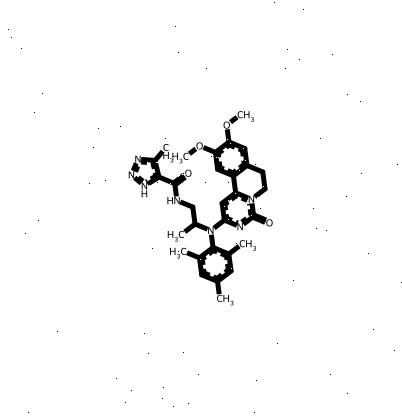 COc1cc2c(cc1OC)-c1cc(N(c3c(C)cc(C)cc3C)C(C)CNC(=O)c3[nH]nnc3C)nc(=O)n1CC2